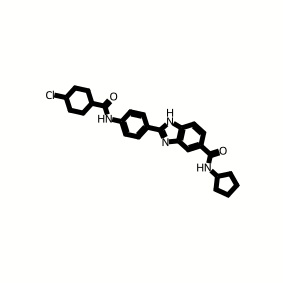 O=C(NC1CCCC1)c1ccc2[nH]c(-c3ccc(NC(=O)C4CCC(Cl)CC4)cc3)nc2c1